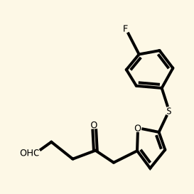 O=CCCC(=O)Cc1ccc(Sc2ccc(F)cc2)o1